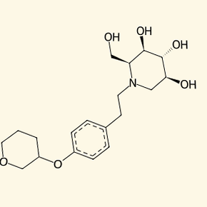 OC[C@H]1[C@@H](O)[C@H](O)[C@@H](O)CN1CCc1ccc(OC2CCCOC2)cc1